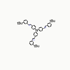 CC(C)(C)c1cccc(/C=C/c2ccc(N(c3ccc(/C=C/c4cccc(C(C)(C)C)c4)cc3)c3ccc(/C=C/c4cccc(C(C)(C)C)c4)cc3)cc2)c1